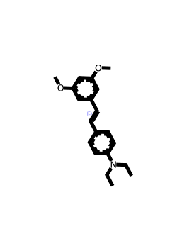 CCN(CC)c1ccc(/C=C/c2cc(OC)cc(OC)c2)cc1